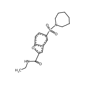 CCNC(=O)c1cc2cc(S(=O)(=O)N3CCCCCC3)ccc2o1